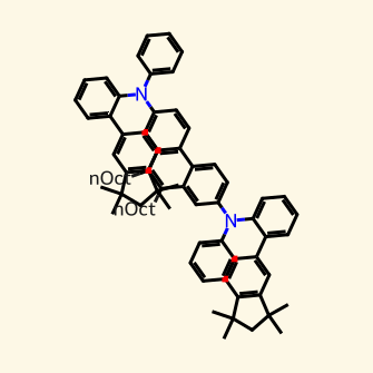 CCCCCCCCc1c(CCCCCCCC)c2cc(N(c3ccccc3)c3ccccc3-c3ccc4c(c3)C(C)(C)CC4(C)C)ccc2c2ccc(N(c3ccccc3)c3ccccc3-c3ccc4c(c3)C(C)(C)CC4(C)C)cc12